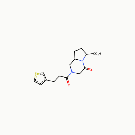 O=C(O)C1CCC2CN(C(=O)CCc3ccsc3)CC(=O)N21